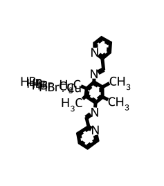 Br.Br.Br.Br.Cc1c(C)c(N=Cc2ccccn2)c(C)c(C)c1N=Cc1ccccn1.[Cu].[Cu]